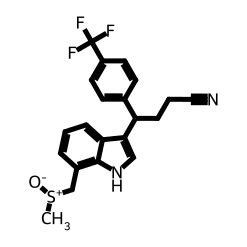 C[S+]([O-])Cc1cccc2c(C(CCC#N)c3ccc(C(F)(F)F)cc3)c[nH]c12